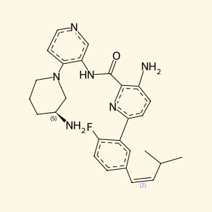 CC(C)/C=C\c1ccc(F)c(-c2ccc(N)c(C(=O)Nc3cnccc3N3CCC[C@H](N)C3)n2)c1